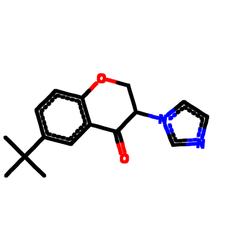 CC(C)(C)c1ccc2c(c1)C(=O)C(n1ccnc1)CO2